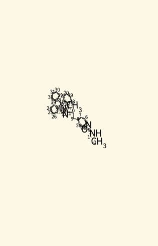 CCNc1nc2ccc(/C=C/c3ncn(C(c4ccccc4)(c4ccccc4)c4ccccc4)c3C)cc2o1